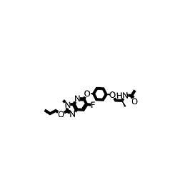 CCCOc1nc2cc(F)c(O[C@H]3CC[C@H](OC[C@H](C)NC(C)=O)CC3)nc2n1C